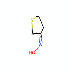 O/N=C1/CCSC1